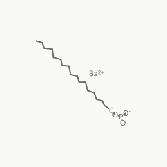 CCCCCCCCCCCCCCCCCCOP([O-])[O-].[Ba+2]